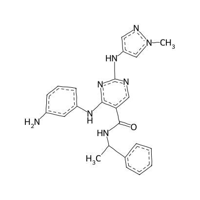 CC(NC(=O)c1cnc(Nc2cnn(C)c2)nc1Nc1cccc(N)c1)c1ccccc1